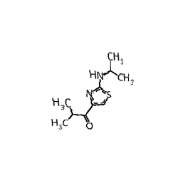 CC(C)Nc1nc(C(=O)C(C)C)cs1